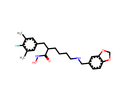 Cc1cc(CC(CCCCNCc2ccc3c(c2)OCO3)C(=O)NO)cc(C)c1F